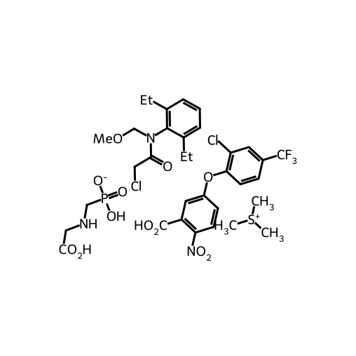 CCc1cccc(CC)c1N(COC)C(=O)CCl.C[S+](C)C.O=C(O)CNCP(=O)([O-])O.O=C(O)c1cc(Oc2ccc(C(F)(F)F)cc2Cl)ccc1[N+](=O)[O-]